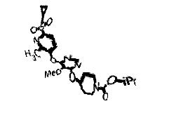 COc1c(Oc2ccc(S(=O)(=O)C3CC3)nc2C)ncnc1OC1CCN(C(=O)OC(C)C)CC1